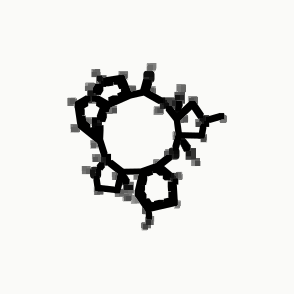 CN1C[C@@H]2Oc3ncc(F)cc3[C@@H]3CCON3c3ccn4ncc(c4n3)C(=O)N[C@@H]2C1